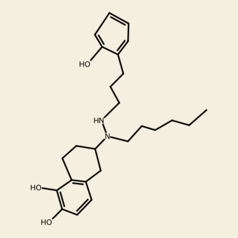 CCCCCCN(NCCCc1ccccc1O)C1CCc2c(ccc(O)c2O)C1